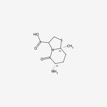 C[C@]12CC[C@H](N)C(=O)N1C(C(=O)O)CS2